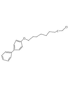 ClCCCCCCCCCOc1ccc(-c2ccccc2)cc1